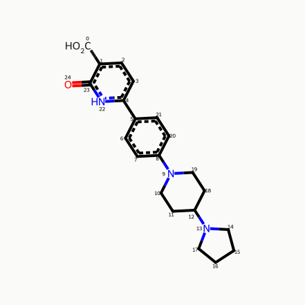 O=C(O)c1ccc(-c2ccc(N3CCC(N4CCCC4)CC3)cc2)[nH]c1=O